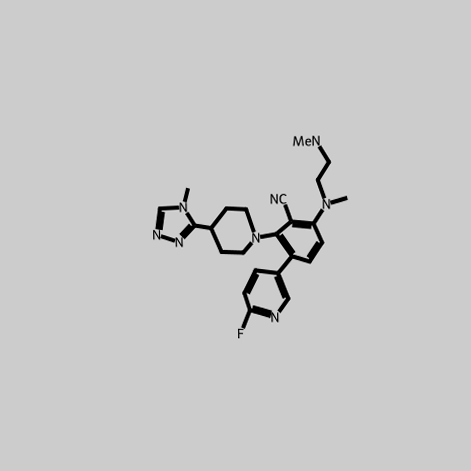 CNCCN(C)c1ccc(-c2ccc(F)nc2)c(N2CCC(c3nncn3C)CC2)c1C#N